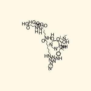 CCN(CC)CC(C)OC1(/C=C(/O)CNC(C)Cc2ccc(Nc3nc(NCCCCCCCC(=O)NCCCC[C@H](NC(=O)N[C@@H](CCC(=O)O)C(=O)O)C(=O)O)nc(N4CCN(C)CC4)n3)cc2)/C=C(/O)CN(C)CCN(C)C/C(O)=C\1